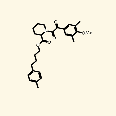 COc1c(C)cc(C(=O)C(=O)N2CCCCC2C(=O)OCCCCc2ccc(C)cc2)cc1C